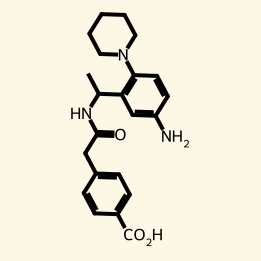 CC(NC(=O)Cc1ccc(C(=O)O)cc1)c1cc(N)ccc1N1CCCCC1